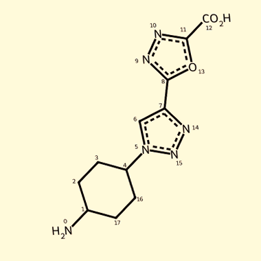 NC1CCC(n2cc(-c3nnc(C(=O)O)o3)nn2)CC1